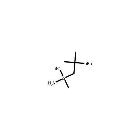 CCCCC(C)(C)CS(C)(N)C(C)C